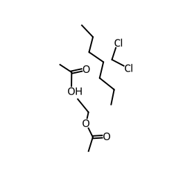 CC(=O)O.CCCCCCC.CCOC(C)=O.ClCCl